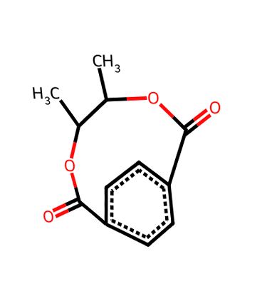 CC1OC(=O)c2ccc(cc2)C(=O)OC1C